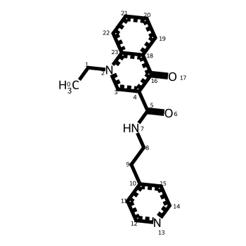 CCn1cc(C(=O)NCCc2ccncc2)c(=O)c2ccccc21